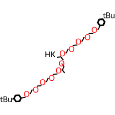 CC(COCC(C)OCCOCCOCCOCCOCc1ccc(C(C)(C)C)cc1)OCCOCCOCCOCCOCc1ccc(C(C)(C)C)cc1.[KH]